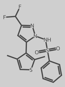 Cc1csc(C)c1-c1cc(C(F)F)nn1NS(=O)(=O)c1ccccc1